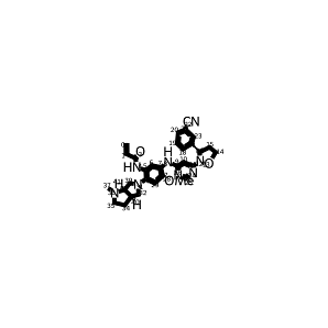 C=CC(=O)Nc1cc(Nc2cc(N3OCC[C@@H]3c3cccc(C#N)c3)ncn2)c(OC)cc1N1C[C@H]2CCN(C)[C@H]2C1